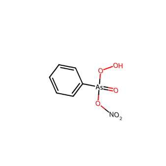 O=[N+]([O-])O[As](=O)(OO)c1ccccc1